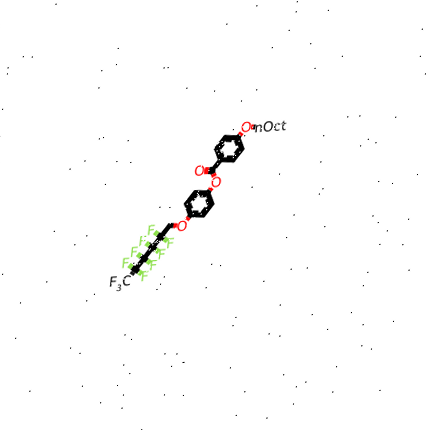 CCCCCCCCOc1ccc(C(=O)Oc2ccc(OCC(F)(F)C(F)(F)C(F)(F)C(F)(F)C(F)(F)F)cc2)cc1